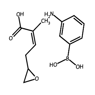 CC(=CCC1CO1)C(=O)O.Nc1cccc(B(O)O)c1